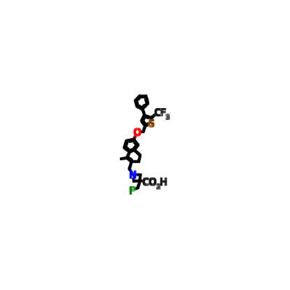 CC1=C(CN2CC(CF)(C(=O)O)C2)CCc2cc(OCc3cc(-c4ccccc4)c(C(F)(F)F)s3)ccc21